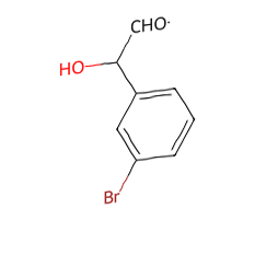 O=[C]C(O)c1cccc(Br)c1